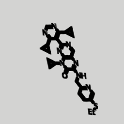 CCSc1ccc(CNc2nc3cnc(-c4c(C5CC5)ncnc4C4CC4)nc3n(C3CC3)c2=O)nc1